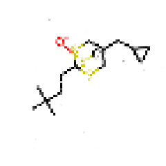 CC(C)(C)CCC12SCC(CC3CC3)(CS1)C[S+]2[O-]